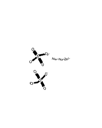 O=S(=O)([O-])[O-].O=S(=O)([O-])[O-].[Na+].[Na+].[Zn+2]